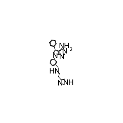 Nc1ncnc2c1c(-c1ccccc1)cn2-c1cccc(CNCCc2c[nH]cn2)c1